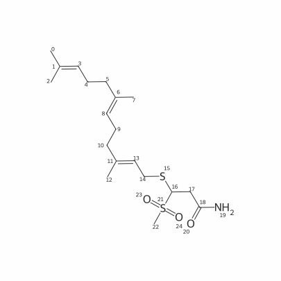 CC(C)=CCCC(C)=CCCC(C)=CCSC(CC(N)=O)S(C)(=O)=O